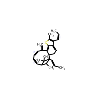 C=C1/C=C\C=C/C2C(C)C(C=CC)(C3CC=c4c(/C=C\C)c(C)sc4=C13)C2(C)C